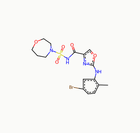 Cc1ccc(Br)cc1Nc1nc(C(=O)NS(=O)(=O)N2CCCOCC2)co1